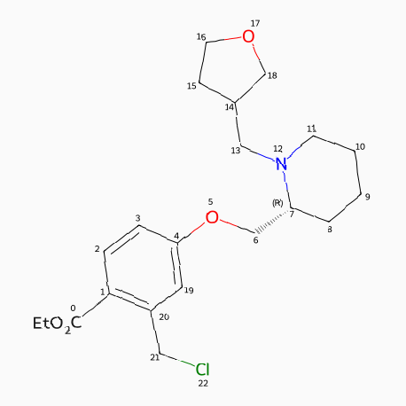 CCOC(=O)c1ccc(OC[C@H]2CCCCN2CC2CCOC2)cc1CCl